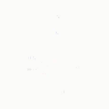 N#Cc1ccccc1-n1ccc2cc(C(N)(C(=O)O)S(=O)(=O)c3cc(Cl)cc(Cl)c3)ccc21